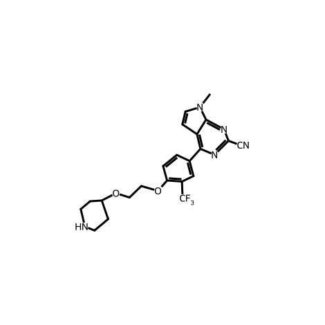 Cn1ccc2c(-c3ccc(OCCOC4CCNCC4)c(C(F)(F)F)c3)nc(C#N)nc21